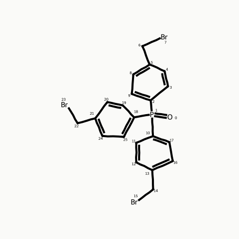 O=P(c1ccc(CBr)cc1)(c1ccc(CBr)cc1)c1ccc(CBr)cc1